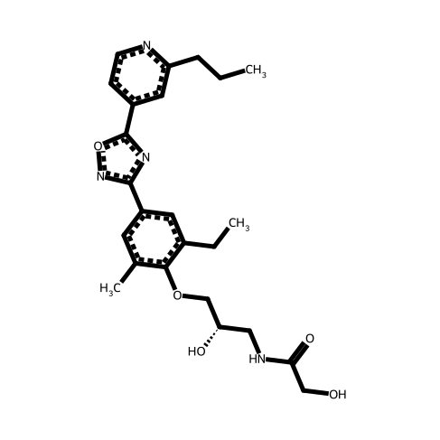 CCCc1cc(-c2nc(-c3cc(C)c(OC[C@@H](O)CNC(=O)CO)c(CC)c3)no2)ccn1